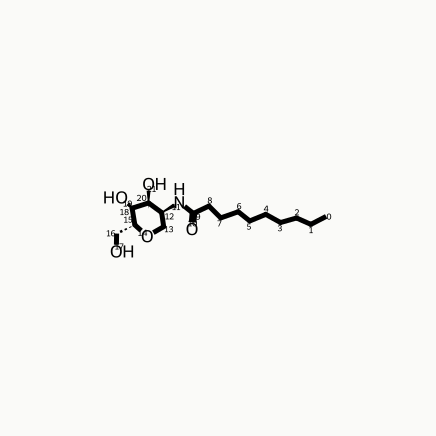 CCCCCCCCCC(=O)N[C@H]1CO[C@H](CO)[C@@H](O)[C@H]1O